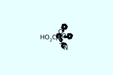 O=C(O)c1cc(OCc2ccccc2)c(OCc2ccccc2)c(CSc2ccncc2)n1